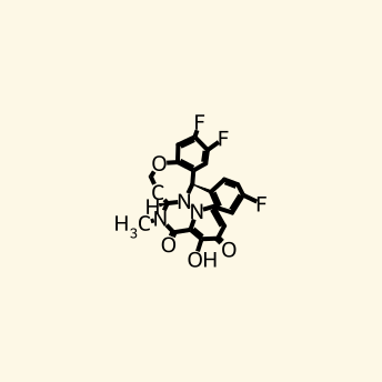 CN1C(=O)c2c(O)c(=O)ccn2N2[C@H](c3ccc(F)cc3)c3cc(F)c(F)cc3OCC[C@@H]12